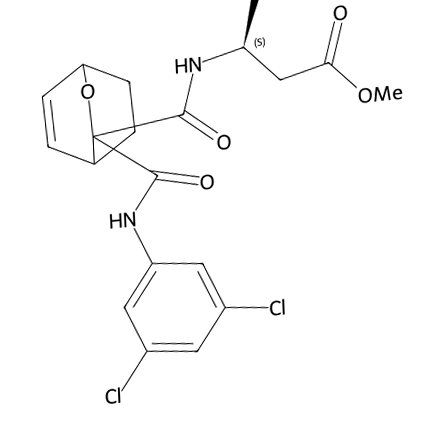 COC(=O)C[C@H](C)NC(=O)C1(C(=O)Nc2cc(Cl)cc(Cl)c2)OC2C=CC1CC2